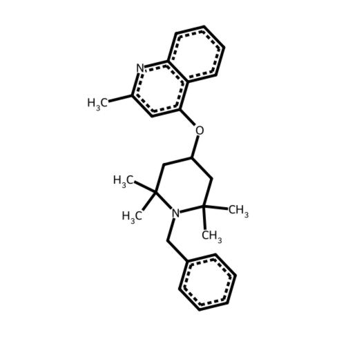 Cc1cc(OC2CC(C)(C)N(Cc3ccccc3)C(C)(C)C2)c2ccccc2n1